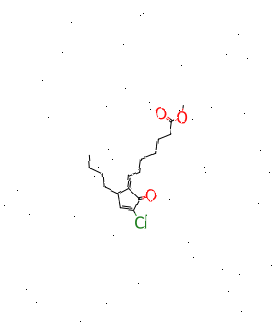 CCCCC1C=C(Cl)C(=O)C1=CCCCCCC(=O)OC